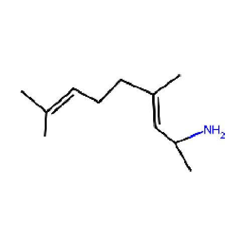 CC(C)=CCCC(C)=CC(C)N